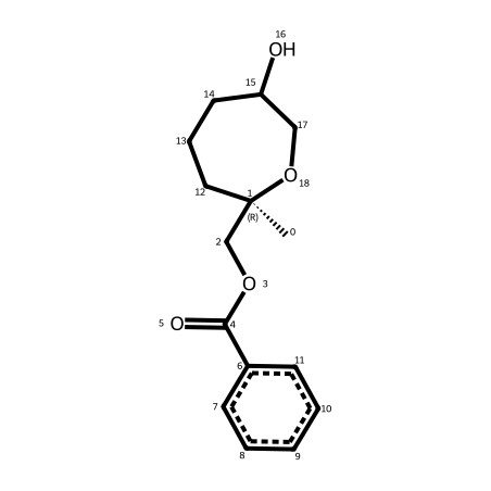 C[C@]1(COC(=O)c2ccccc2)CCCC(O)CO1